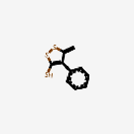 C=C1SSC(S)=C1c1ccccc1